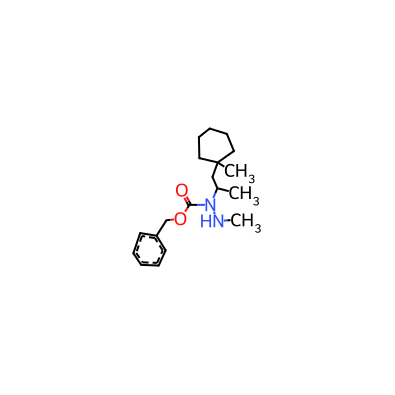 CNN(C(=O)OCc1ccccc1)C(C)CC1(C)CCCCC1